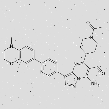 CC(=O)N1CCC(c2nc3c(-c4ccc(-c5ccc6c(c5)OCCN6C)nc4)cnn3c(N)c2C=O)CC1